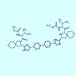 COC(=O)N[C@H](C(=O)C1N[C@H](c2ncc(-c3ccc(-c4ccc(-c5c[nH]c(C6CC7(CCOCC7)CN6C(=O)[C@@H](NC(=O)OC)C(C)C)n5)cc4)cc3)[nH]2)CC12CCOCC2)C(C)C